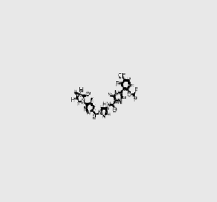 Cc1cc([C@H](C)n2cc(NC(=O)c3ncc(-c4c(OC(F)F)ccc(Cl)c4F)nc3C)cn2)nnc1N1C[C@H]2C[C@H]2C1=O